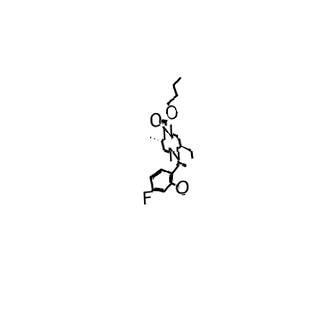 CCCCOC(=O)N1C[C@@H](CC)N(C(C)c2ccc(F)cc2OC)C[C@@H]1C